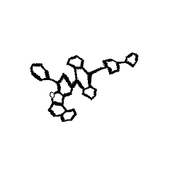 c1ccc(-c2ccc(-c3c4ccccc4c(-c4cc(-c5ccccc5)c5oc6ccc7ccccc7c6c5c4)c4ccccc34)cc2)cc1